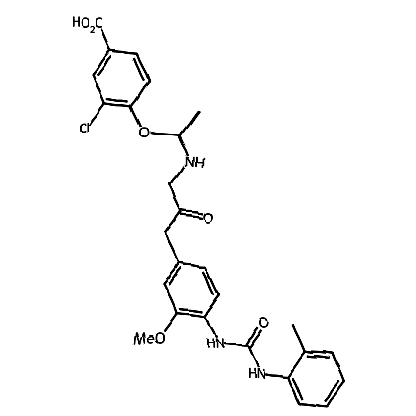 COc1cc(CC(=O)CNC(C)Oc2ccc(C(=O)O)cc2Cl)ccc1NC(=O)Nc1ccccc1C